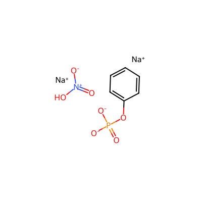 O=P([O-])([O-])Oc1ccccc1.O=[N+]([O-])O.[Na+].[Na+]